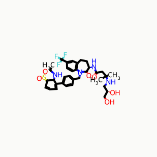 CCNC1C(c2ccc(CN3C(=O)[C@H](NC(=O)CC(C)(C)NC[C@H](O)CO)CCc4cc(C(F)(F)F)ccc43)cc2)=CC=CC1=S(=O)=O